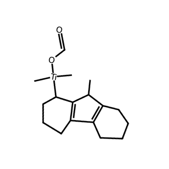 CC1C2=C(CCCC2)C2=C1[CH]([Ti]([CH3])([CH3])[O]C=O)CCC2